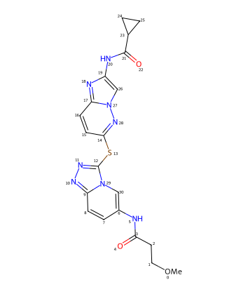 COCCC(=O)Nc1ccc2nnc(Sc3ccc4nc(NC(=O)C5CC5)cn4n3)n2c1